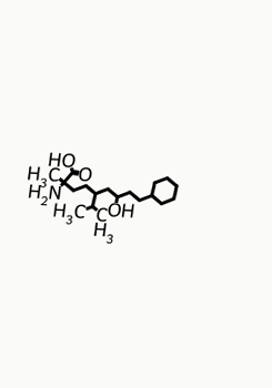 CC(C)C(CCC(C)(N)C(=O)O)CC(O)CCC1CCCCC1